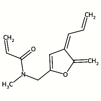 C=C/C=c1/cc(CN(C)C(=O)C=C)oc1=C